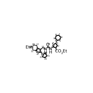 CCOC(=O)c1cc(-c2ccccc2)sc1NC(=O)NCc1c(-n2cccc2)sc2c1CCN(CC)C2